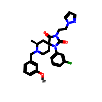 CC(C)Oc1cccc(CN2CC[C@@]3(C[C@@H]2C)C(=O)N(CCn2cccn2)C(=O)N3c2cccc(F)c2)c1